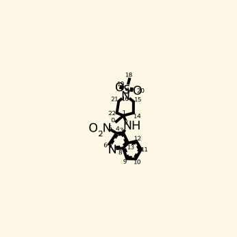 CC1(Nc2c([N+](=O)[O-])cnc3ccccc23)CCN(S(C)(=O)=O)CC1